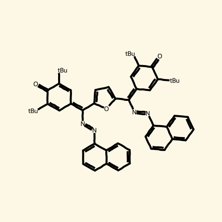 CC(C)(C)C1=CC(=C(/N=N/c2cccc3ccccc23)c2ccc(C(/N=N/c3cccc4ccccc34)=C3C=C(C(C)(C)C)C(=O)C(C(C)(C)C)=C3)o2)C=C(C(C)(C)C)C1=O